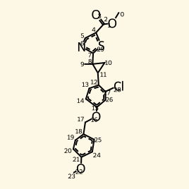 COC(=O)c1cnc(C2(C)CC2c2ccc(OCc3ccc(OC)cc3)cc2Cl)s1